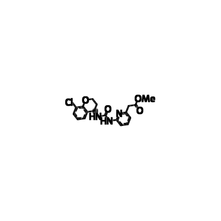 COC(=O)Cc1cccc(NC(=O)N[C@H]2CCOc3c(Cl)cccc32)n1